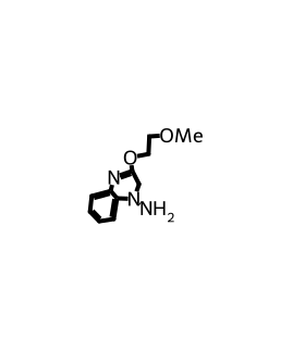 COCCOC1=Nc2ccccc2N(N)C1